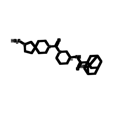 O=C(O)N1CCC2(CCN(C(=O)N3CCC[C@H](NC(=O)C45CC6CC(C4)C(O)C(C6)C5)C3)CC2)C1